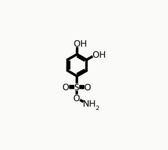 NOS(=O)(=O)c1ccc(O)c(O)c1